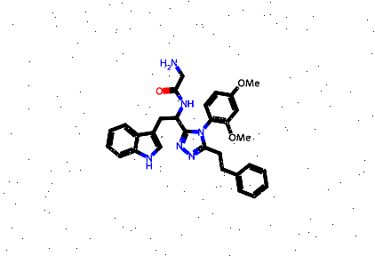 COc1ccc(-n2c(CCc3ccccc3)nnc2C(Cc2c[nH]c3ccccc23)NC(=O)CN)c(OC)c1